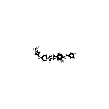 O=C(NS(=O)(=O)N1CCC(OC2CN(CC(F)(F)F)C2)CC1)c1cc(Cl)c(OCC2CCCC2)cc1F